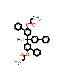 C=CC(=O)Oc1ccc(C(C)(c2ccc(-c3ccccc3)cc2)c2ccc(OC(=O)C=C)c(-c3ccccc3)c2)cc1-c1ccccc1